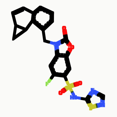 O=c1oc2cc(S(=O)(=O)Nc3ncns3)c(F)cc2n1Cc1cccc2c1C1CC1C=C2